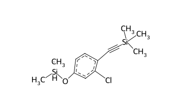 C[SiH](C)Oc1ccc(C#C[Si](C)(C)C)c(Cl)c1